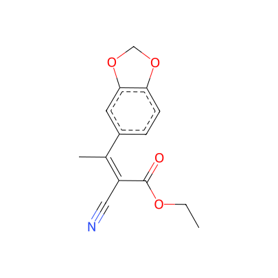 CCOC(=O)C(C#N)=C(C)c1ccc2c(c1)OCO2